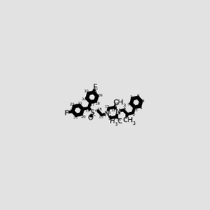 CC(Cc1ccccc1)CN1[C@H](C)CN(CC[S+]([O-])C(c2ccc(F)cc2)c2ccc(F)cc2)C[C@@H]1C